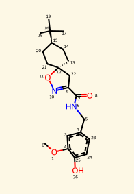 COc1cc(CNC(=O)C2=NO[C@]3(CC[C@H](C(C)(C)C)CC3)C2)ccc1O